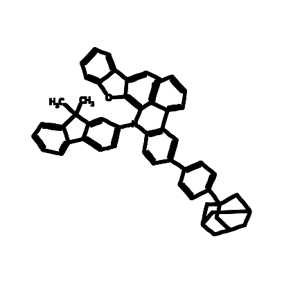 CC1(C)c2ccccc2-c2ccc(N(c3ccc(-c4ccc(C56CC7CC(CC(C7)C5)C6)cc4)cc3-c3ccccc3)c3cccc4c3oc3ccccc34)cc21